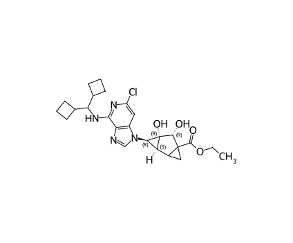 CCOC(=O)C12CC1[C@H]1[C@@H](n3cnc4c(NC(C5CCC5)C5CCC5)nc(Cl)cc43)[C@@]1(O)[C@@H]2O